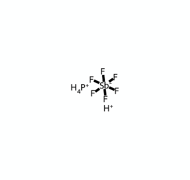 [F][Sb-]([F])([F])([F])([F])[F].[H+].[PH4+]